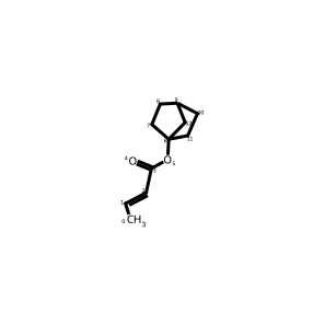 CC=CC(=O)OC12CCC(CC1)C2